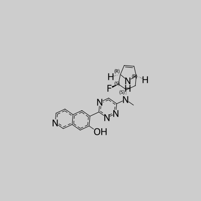 CN(c1cnc(-c2cc3ccncc3cc2O)nn1)[C@H]1C[C@@H]2C=C[C@@H](N2)[C@@H]1F